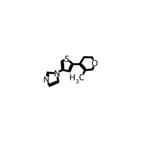 CC1=C(c2cc(-n3ccnc3)cs2)CCOC1